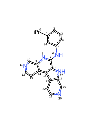 CC(C)c1cccc(Nc2nc3cnccc3c3c2[nH]c2cnccc23)c1